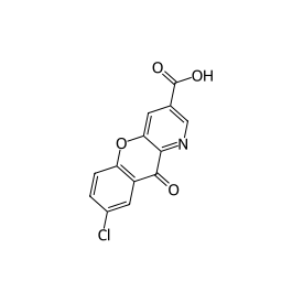 O=C(O)c1cnc2c(=O)c3cc(Cl)ccc3oc2c1